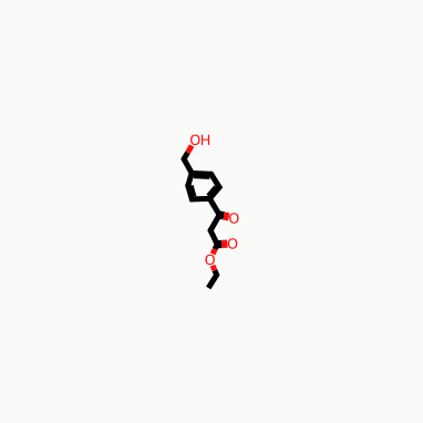 CCOC(=O)CC(=O)c1ccc(CO)cc1